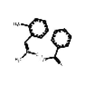 Cc1ccccc1C=[N+](C)C.NC(=S)c1ccccc1